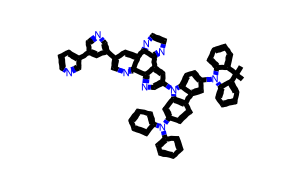 CC1(C)c2ccccc2N(c2ccc3c(c2)c2ccc(N(c4ccccc4)c4ccccc4)cc2n3-c2cnc3c(c2)c2nccnc2c2cc(-c4cncc(-c5cccnc5)c4)cnc23)c2ccccc21